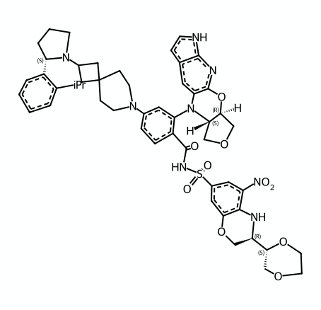 CC(C)c1ccccc1[C@@H]1CCCN1C1CC2(CCN(c3ccc(C(=O)NS(=O)(=O)c4cc5c(c([N+](=O)[O-])c4)N[C@@H]([C@H]4COCCO4)CO5)c(N4c5cc6cc[nH]c6nc5O[C@H]5COC[C@@H]54)c3)CC2)C1